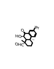 CC(C)c1ccc2c(c1)C(=O)[C@H](O)C1[C@@](C)(C=O)CCC[C@]21C